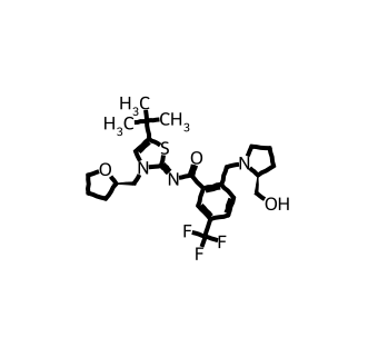 CC(C)(C)c1cn(C[C@H]2CCCO2)c(=NC(=O)c2cc(C(F)(F)F)ccc2CN2CCC[C@H]2CO)s1